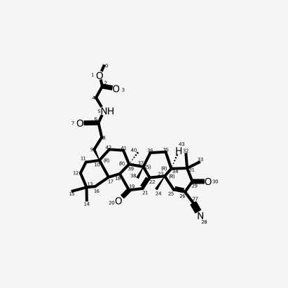 COC(=O)CNC(=O)CC[C@]12CCC(C)(C)CC1C1C(=O)C=C3[C@@]4(C)C=C(C#N)C(=O)C(C)(C)[C@@H]4CC[C@@]3(C)[C@]1(C)CC2